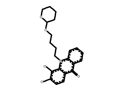 O=c1c2ccccc2n(CCCCOC2CCCCO2)c2c(Cl)c(Cl)ccc12